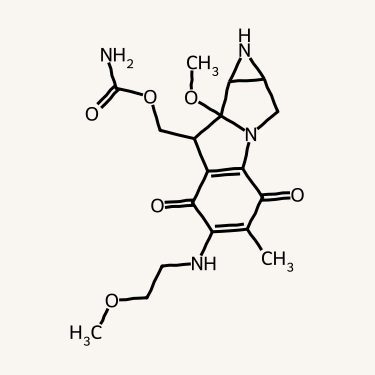 COCCNC1=C(C)C(=O)C2=C(C1=O)C(COC(N)=O)C1(OC)C3NC3CN21